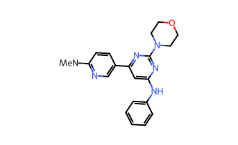 CNc1ccc(-c2cc(Nc3ccccc3)nc(N3CCOCC3)n2)cn1